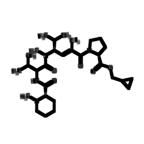 C/C(=C\[C@H](C(C)C)N(C)C(=O)C(NC(=O)[C@H]1CCCCN1C)C(C)C)C(=O)N1CCC[C@H]1C(=O)OCC1CC1